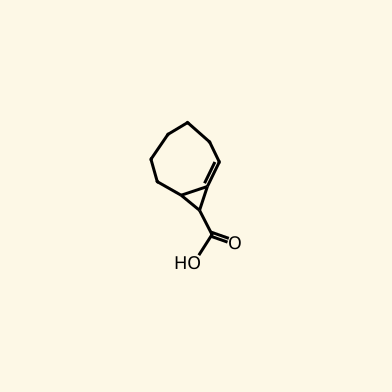 O=C(O)C1/C2=C/CCCCCC21